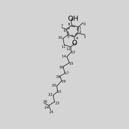 Cc1c(C)c2c(c(C)c1O)CCC(CCCCCCCCCCCC(C)C)O2